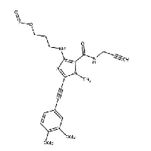 C#CCNC(=O)c1c(NCCCOP=O)nc(C#Cc2ccc(OC)c(OC)c2)n1C